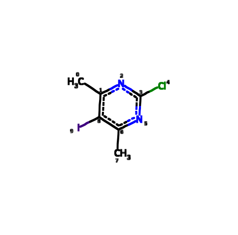 Cc1nc(Cl)nc(C)c1I